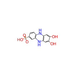 O=S(=O)(O)c1ccc2c(c1)Nc1cc(O)c(O)cc1N2